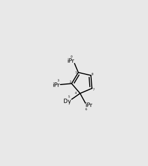 CC(C)C1=C(C(C)C)[C]([Dy])(C(C)C)C=C1